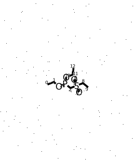 CCOP(CS(=O)(=O)CC)OCC